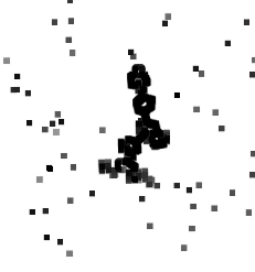 CC(CN)n1cc(-c2nc(-c3ccc(N4CCOCC4)cc3)cc3nccn23)cn1